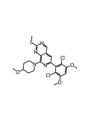 COc1cc(OC)c(Cl)c(-c2cc3cnc(SC)nc3c(N3CCC(OC)CC3)n2)c1Cl